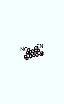 N#Cc1ccc(-c2cc(-c3ccc(C#N)cc3)c(-n3c4cccc(-c5ccccc5)c4c4c(-c5ccccc5)cccc43)c(-c3ccccc3)c2-n2c3cccc(-c4ccccc4)c3c3c(-c4ccccc4)cccc32)cc1